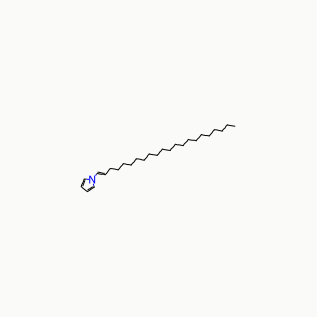 CCCCCCCCCCCCCCCCCCCCC=Cn1cccc1